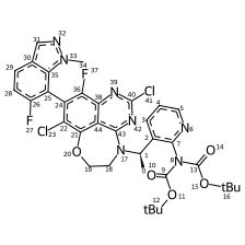 C[C@H](c1cccnc1N(C(=O)OC(C)(C)C)C(=O)OC(C)(C)C)N1CCOc2c(Cl)c(-c3c(F)ccc4cnn(C)c34)c(F)c3nc(Cl)nc1c23